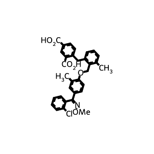 CON=C(c1ccc(OCc2c(C)cccc2Cc2ccc(C(=O)O)cc2C(=O)O)c(C)c1)c1ccccc1Cl